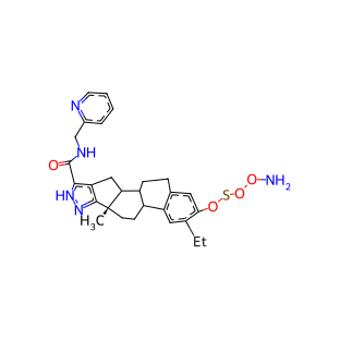 CCc1cc2c(cc1OSOON)CCC1C2CC[C@]2(C)c3n[nH]c(C(=O)NCc4ccccn4)c3CC12